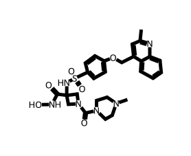 Cc1cc(COc2ccc(S(=O)(=O)NC3(C(=O)NO)CN(C(=O)N4CCN(C)CC4)C3)cc2)c2ccccc2n1